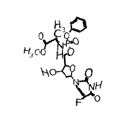 COC(=O)[C@H](C)NP(=O)(OCC1O[C@@H](n2cc(F)c(=O)[nH]c2=O)C[C@H]1O)Oc1ccccc1